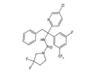 O=C(NC(Cc1ccccc1)(c1cc(F)cc(C(F)(F)F)c1)c1ccc(Cl)cn1)N1CCC(F)(F)C1